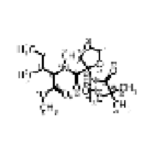 CCC(C)C(C(=O)OC)N(C)C(=O)C1(N(O)C(=O)C(C)(C)C)COCO1